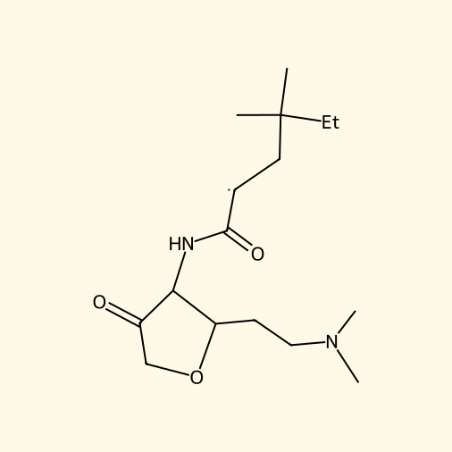 CCC(C)(C)C[CH]C(=O)NC1C(=O)COC1CCN(C)C